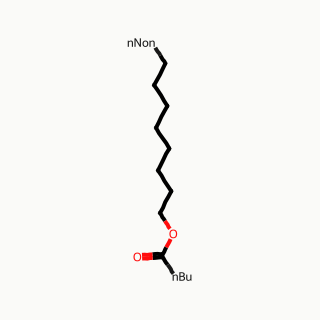 CCCCCCCCCCCCCCCCCOC(=O)CCCC